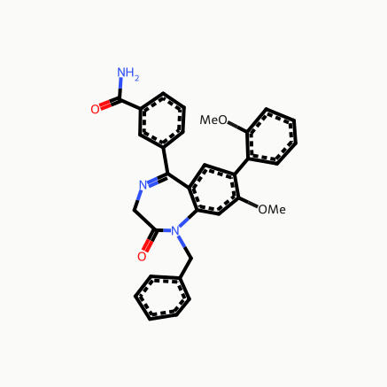 COc1ccccc1-c1cc2c(cc1OC)N(Cc1ccccc1)C(=O)CN=C2c1cccc(C(N)=O)c1